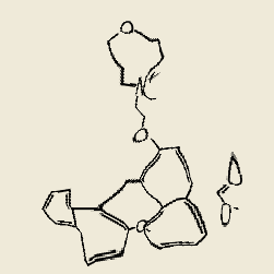 COc1ccc2ccccc2c1Cc1c(OCC[N+]2(C)CCOCC2)ccc2ccccc12.O=C[O-]